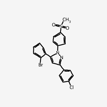 CS(=O)(=O)c1ccc(-n2nc(-c3ccc(Cl)cc3)cc2-c2ccccc2Br)cc1